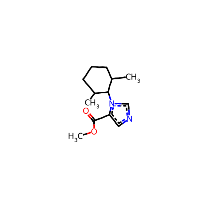 COC(=O)c1cncn1C1C(C)CCCC1C